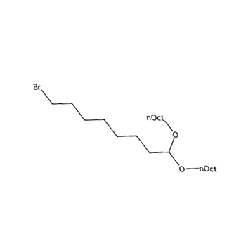 CCCCCCCCOC(CCCCCCCBr)OCCCCCCCC